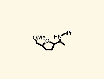 COCC1CCC(C(C)NC(C)C)O1